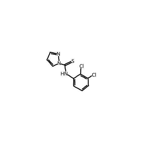 S=C(Nc1cccc(Cl)c1Cl)n1cccn1